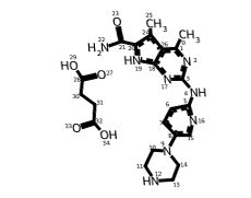 Cc1nc(Nc2ccc(N3CCNCC3)cn2)nc2[nH]c(C(N)=O)c(C)c12.O=C(O)CCC(=O)O